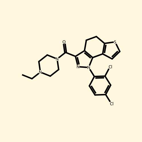 CCN1CCN(C(=O)c2nn(-c3ccc(Cl)cc3Cl)c3c2CCc2sccc2-3)CC1